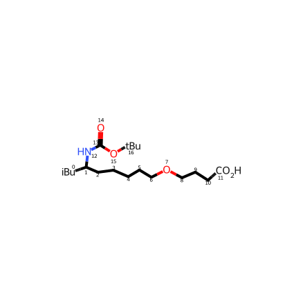 CCC(C)C(CCCCCOCCCC(=O)O)NC(=O)OC(C)(C)C